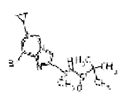 C[C@@H](N[S+]([O-])C(C)(C)C)c1cn2cc(C3CC3)cc(Br)c2n1